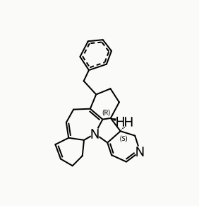 C1=CC2=CCC3=C4[C@H](CCC3Cc3ccccc3)[C@H]3CN=CC=C3N4C2CC1